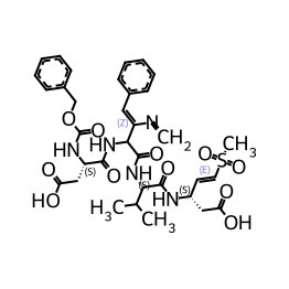 C=N/C(=C\c1ccccc1)C(NC(=O)[C@H](CC(=O)O)NC(=O)OCc1ccccc1)C(=O)N[C@H](C(=O)N[C@H](/C=C/S(C)(=O)=O)CC(=O)O)C(C)C